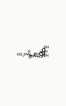 C[C@H](CCC(=O)NCC(=O)NCCS(=O)(=O)O)[C@H]1CC[C@H]2[C@@H]3[C@H](O)C[C@@H]4C[C@H](O)CC[C@]4(C)[C@H]3C[C@H](O)[C@]12C